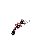 CC(C)c1cc(OC(=O)C2C3CC4C(OC(=O)C42)C3OC(=O)CCC2CC3CCCC(C3)C2)cc(C(C)C)c1S(=O)(=O)O